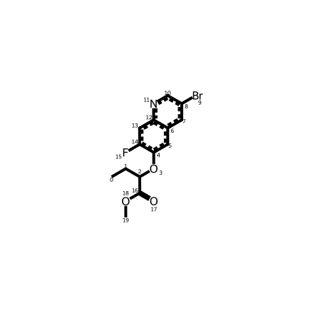 CCC(Oc1cc2cc(Br)cnc2cc1F)C(=O)OC